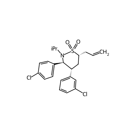 C=CC[C@@H]1C[C@H](c2cccc(Cl)c2)[C@@H](c2ccc(Cl)cc2)N(C(C)C)S1(=O)=O